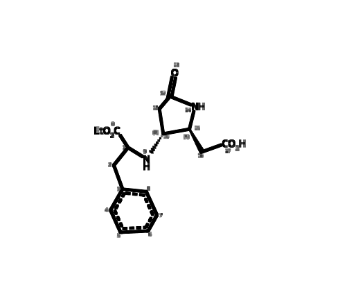 CCOC(=O)C(Cc1ccccc1)N[C@@H]1CC(=O)N[C@H]1CC(=O)O